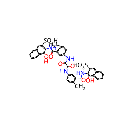 Cc1ccc(NC(=O)C(=O)Nc2ccc(C)c(C(=O)Nc3c(S(=O)(=O)O)cc4ccccc4c3O)c2)cc1C(=O)Nc1c(S(=O)(=O)O)cc2ccccc2c1O